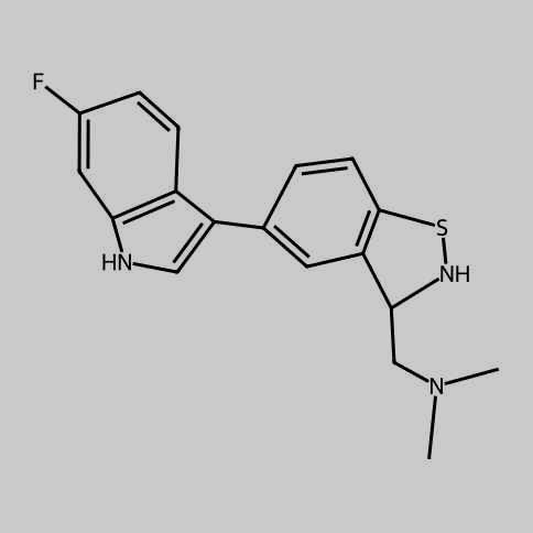 CN(C)CC1NSc2ccc(-c3c[nH]c4cc(F)ccc34)cc21